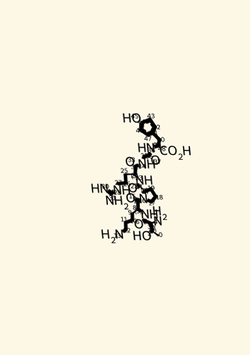 C[C@@H](O)[C@H](N)C(=O)N[C@@H](CCCCN)C(=O)N1CCC[C@H]1C(=O)N[C@@H](CCCNC(=N)N)C(=O)NCC(=O)N[C@@H](Cc1ccc(O)cc1)C(=O)O